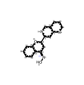 O/N=c1/cc(-c2cc3ncccc3cn2)oc2ccccc12